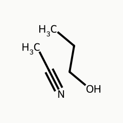 CC#N.CCCO